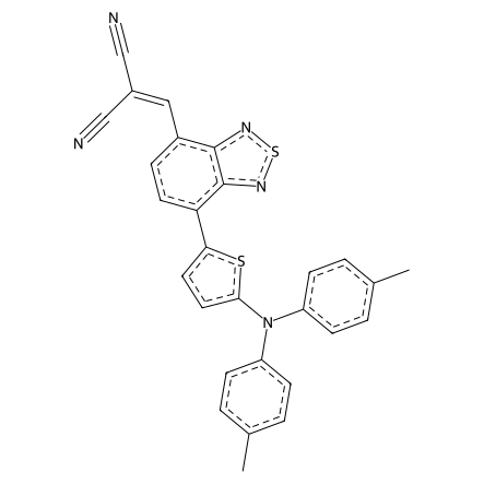 Cc1ccc(N(c2ccc(C)cc2)c2ccc(-c3ccc(C=C(C#N)C#N)c4nsnc34)s2)cc1